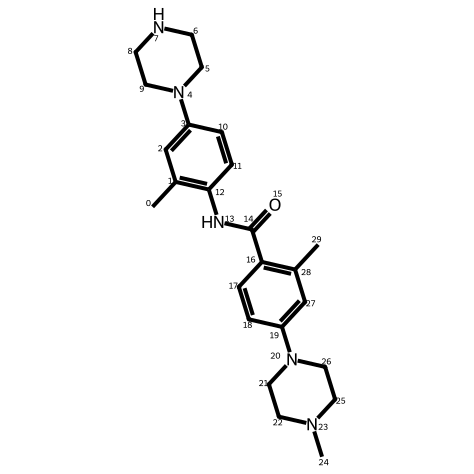 Cc1cc(N2CCNCC2)ccc1NC(=O)c1ccc(N2CCN(C)CC2)cc1C